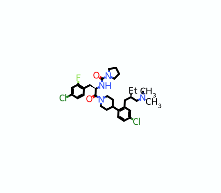 CC[C@H](Cc1cc(Cl)ccc1C1CCN(C(=O)[C@@H](Cc2ccc(Cl)cc2F)NC(=O)N2CCCC2)CC1)CN(C)C